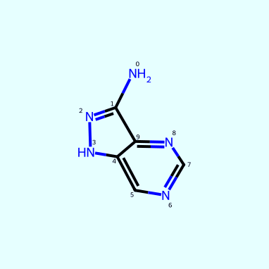 Nc1n[nH]c2cncnc12